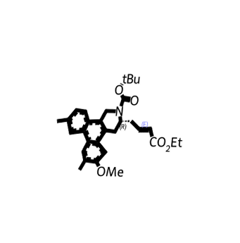 CCOC(=O)/C=C/C[C@@H]1Cc2c(c3ccc(C)cc3c3cc(C)c(OC)cc23)CN1C(=O)OC(C)(C)C